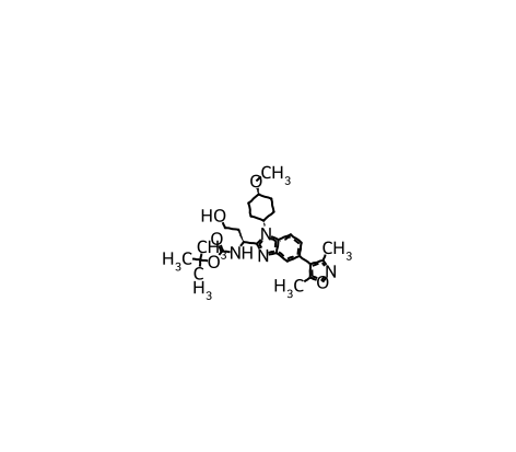 CO[C@H]1CC[C@H](n2c([C@H](CCO)NC(=O)OC(C)(C)C)nc3cc(-c4c(C)noc4C)ccc32)CC1